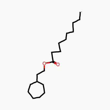 [CH2]CCCCCCCCC(=O)OCCC1CCCCCC1